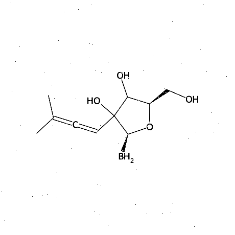 B[C@@H]1O[C@H](CO)C(O)C1(O)C=C=C(C)C